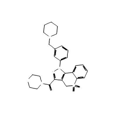 O=C(c1nn(-c2cccc(CN3CCCCC3)c2)c2c1CS(=O)(=O)c1ccccc1-2)N1CCOCC1